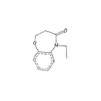 CCN1C(=O)CCOc2ccccc21